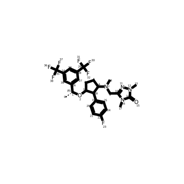 C[C@@H](OC1CCC(N(C)Cc2nn(C)c(=O)n2C)C1c1ccc(F)cc1)c1cc(C(F)(F)F)cc(C(F)(F)F)c1